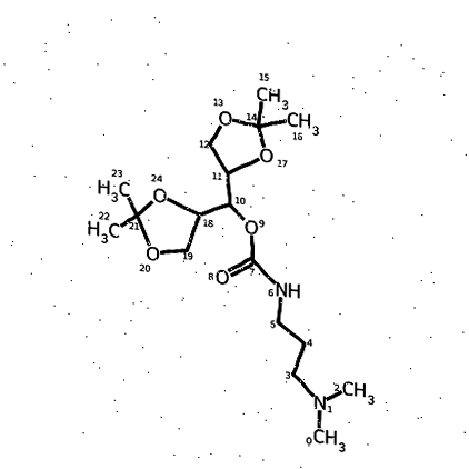 CN(C)CCCNC(=O)OC(C1COC(C)(C)O1)C1COC(C)(C)O1